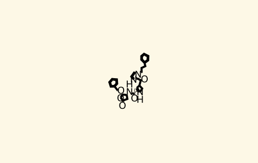 O=C1CC(NC(=O)[C@@H]2CC(C(=O)c3nccn3CCCc3ccccc3)CN2)C(OCc2ccccc2)O1